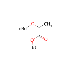 CCCCOC(C)C(=O)OCC